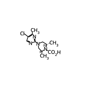 Cc1nc(N2C[C@@H](C)N(C(=O)O)[C@@H](C)C2)ncc1Cl